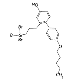 CCCCCOc1ccc(-c2ccc(O)cc2CCC[Si](Br)(Br)Br)cc1